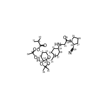 CC(=O)O[C@@H]1[C@H](OC(=O)C(C)C)CO[C@@]2(CN3CCC(NCC(=O)N4CCC[C@H]4C#N)CC3)OC(C)(C)O[C@@H]12